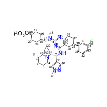 C[C@H]1CCCN(C[C@H](Nc2nc(N(C)[C@@H](C3CCC(C(=O)O)CC3)C3CC3)nc3c2C[C@H](c2cccc(F)c2)CC3)c2cnn(C)c2)C1